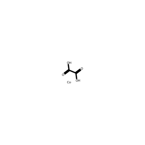 O=C(O)C(=O)O.[Co]